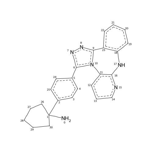 NC1(c2ccc(-c3nnc4n3-c3cccnc3Nc3ccccc3-4)cc2)CCCCC1